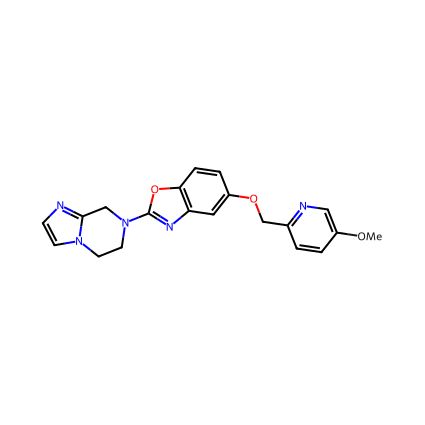 COc1ccc(COc2ccc3oc(N4CCn5ccnc5C4)nc3c2)nc1